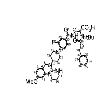 COc1ccc(CN(C2=NCCCN2)C2CCN(c3ccc(C(=O)NC[C@@H](C(=O)O)N(C(=O)OCc4ccccc4)C(C)(C)C)cc3F)CC2)cc1